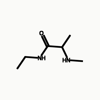 CCNC(=O)C(C)NC